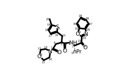 CCC[C@H](NC(=O)C(CC(=O)N1CCOCC1)Cc1ccc(C)s1)C(=O)c1nc2ccccc2o1